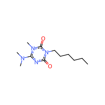 CCCCCCn1c(=O)nc(N(C)C)n(C)c1=O